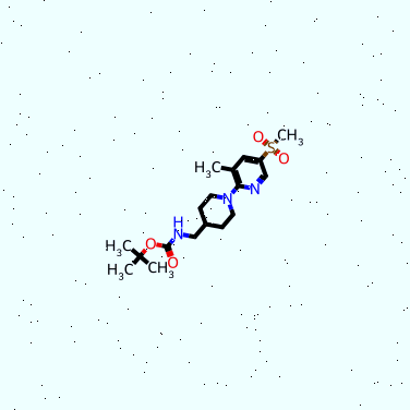 Cc1cc(S(C)(=O)=O)cnc1N1CCC(CNC(=O)OC(C)(C)C)CC1